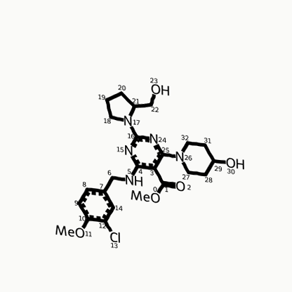 COC(=O)c1c(NCc2ccc(OC)c(Cl)c2)nc(N2CCCC2CO)nc1N1CCC(O)CC1